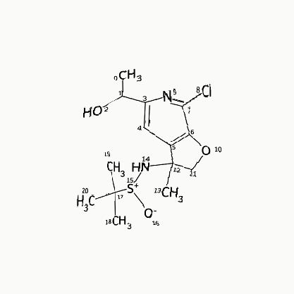 CC(O)c1cc2c(c(Cl)n1)OCC2(C)N[S+]([O-])C(C)(C)C